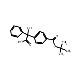 CC(C)(C)OC(=O)c1ccc(C(O)(C(=O)O)c2ccccc2)cc1